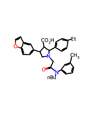 CCCCN(C(=O)CN1CC(c2ccc3occc3c2)C(C(=O)O)C1c1ccc(CC)cc1)c1cccc(C)c1